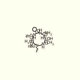 CCCC[C@H]1C(=O)N(C)[C@@H](CC(C)C)C(=O)N[C@@H](C2CCCCC2)C(=O)N[C@@H](CN)C(=O)N[C@@H]([C@H](C)O)C(=O)NCCN1CCF